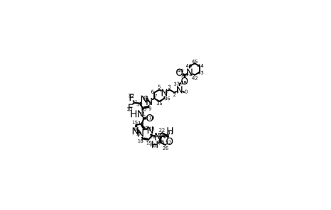 CN(CCN1CCC(n2cc(NC(=O)c3cnn4ccc(N5C[C@H]6C[C@@H]5CO6)nc34)c(C(F)F)n2)CC1)COC(=O)N1CCCCC1